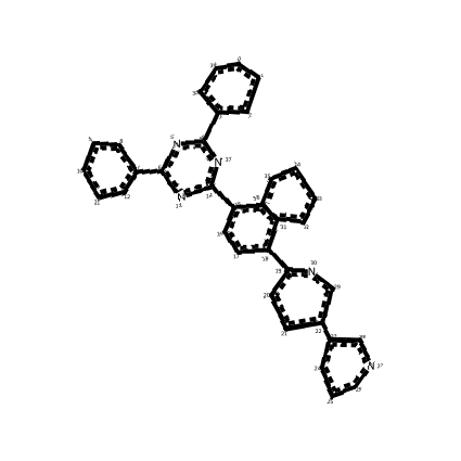 c1ccc(-c2nc(-c3ccccc3)nc(-c3ccc(-c4ccc(-c5cccnc5)cn4)c4ccccc34)n2)cc1